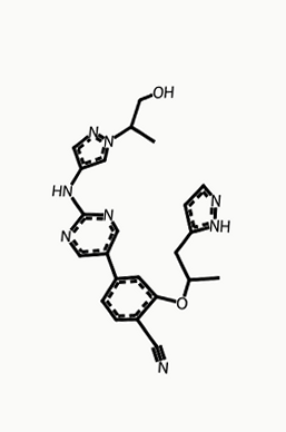 CC(Cc1ccn[nH]1)Oc1cc(-c2cnc(Nc3cnn(C(C)CO)c3)nc2)ccc1C#N